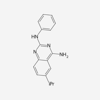 CC(C)c1ccc2nc(Nc3ccccc3)nc(N)c2c1